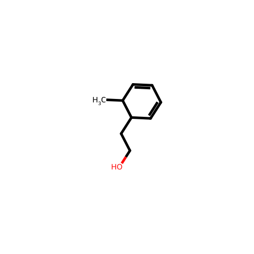 CC1C=CC=CC1CCO